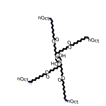 CCCCCCCC/C=C\CCCCCCCC(=O)OCCCCCC(O)C(CCCCOC(=O)CCCCCCC/C=C\CCCCCCCC)CN1CCN(CC(CCCCOC(=O)CCCCCCC/C=C\CCCCCCCC)C(O)CCCCCOC(=O)CCCCCCC/C=C\CCCCCCCC)CC1